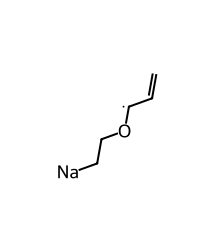 C=C[CH]OC[CH2][Na]